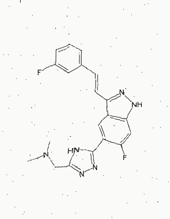 CN(C)Cc1nnc(-c2cc3c(C=Cc4cccc(F)c4)n[nH]c3cc2F)[nH]1